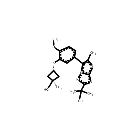 COc1ccc(-c2c(C)nc3sc(C(C)(C)O)nn23)cc1S[C@H]1C[C@](C)(O)C1